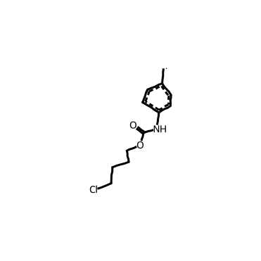 [CH2]c1ccc(NC(=O)OCCCCCl)cc1